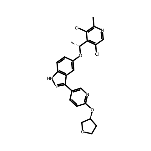 Cc1ncc(Cl)c([C@@H](C)Oc2ccc3[nH]nc(-c4ccc(O[C@H]5CCOC5)nc4)c3c2)c1Cl